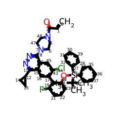 C=CC(=O)N1CCN(c2nnc(C3CC3)c3cc(-c4c(F)cccc4O[Si](c4ccccc4)(c4ccccc4)C(C)(C)C)c(Cl)cc23)CC1